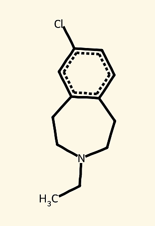 CCN1CCc2ccc(Cl)cc2CC1